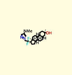 CNc1cnn(CC(F)(F)[C@H]2CC[C@H]3[C@@H]4CC[C@@H]5C[C@](C)(O)CC[C@@H]5[C@H]4CC[C@]23C)c1